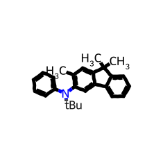 Cc1cc2c(cc1N(c1ccccc1)C(C)(C)C)-c1ccccc1C2(C)C